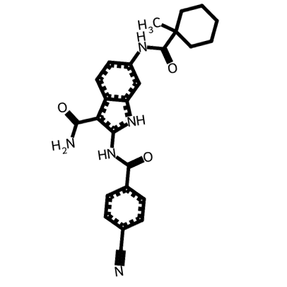 CC1(C(=O)Nc2ccc3c(C(N)=O)c(NC(=O)c4ccc(C#N)cc4)[nH]c3c2)CCCCC1